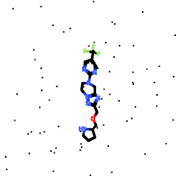 FC(F)(F)c1cnc(N2CCn3nc(COC[C@H]4CCCN4)nc3C2)nc1